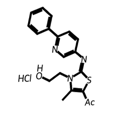 CC(=O)c1sc(=Nc2ccc(-c3ccccc3)nc2)n(CCO)c1C.Cl